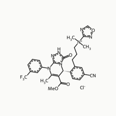 COC(=O)C1=C(C)N(c2cccc(C(F)(F)F)c2)c2n[nH]c(=O)n2[C@@H]1c1ccc(C#N)cc1CCC[N+](C)(C)c1ncon1.[Cl-]